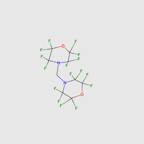 FC1(F)OC(F)(F)C(F)(F)N(CN2C(F)(F)C(F)(F)OC(F)(F)C2(F)F)C1(F)F